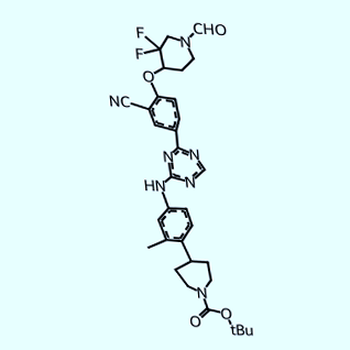 Cc1cc(Nc2ncnc(-c3ccc(OC4CCN(C=O)CC4(F)F)c(C#N)c3)n2)ccc1C1CCN(C(=O)OC(C)(C)C)CC1